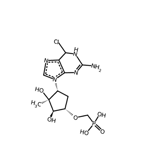 C[C@@]1(O)[C@H](O)[C@@H](OCP(=O)(O)O)C[C@H]1n1cnc2c1N=C(N)NC2Cl